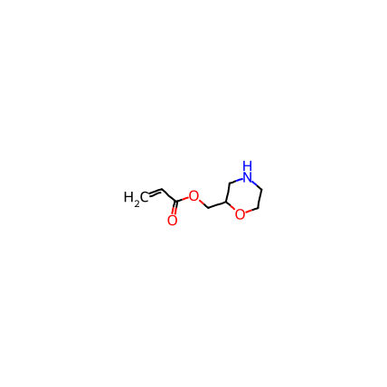 C=CC(=O)OCC1CNCCO1